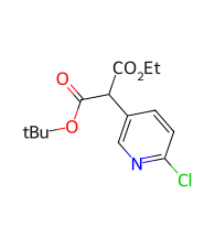 CCOC(=O)C(C(=O)OC(C)(C)C)c1ccc(Cl)nc1